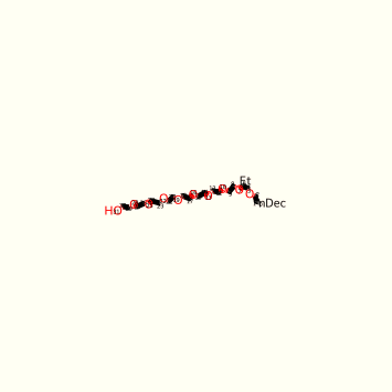 CCCCCCCCCCCCOCC(CC)OCCOCCOCCOCCOCCOCCOCCOCCO